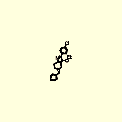 CCOc1c2c(nn1-c1ccc(Cl)cc1)CCN(Cc1ccccc1)C2